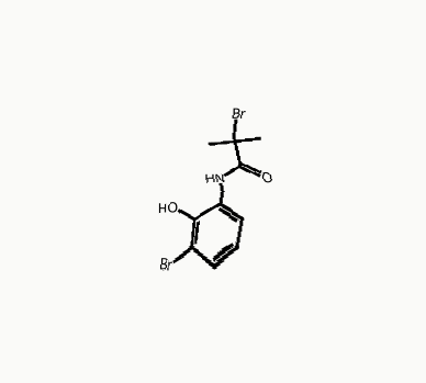 CC(C)(Br)C(=O)Nc1cccc(Br)c1O